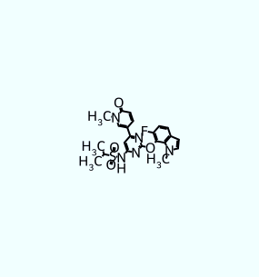 CC(C)S(=O)(=O)Nc1cc(-c2ccc(=O)n(C)c2)nc(Oc2c(F)ccc3ccn(C)c23)n1